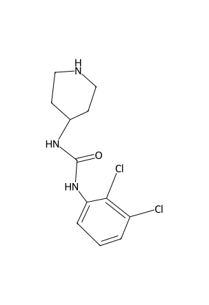 O=C(Nc1cccc(Cl)c1Cl)NC1CCNCC1